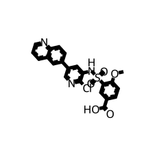 COc1ccc(C(=O)O)cc1S(=O)(=O)Nc1cc(-c2ccc3ncccc3c2)cnc1Cl